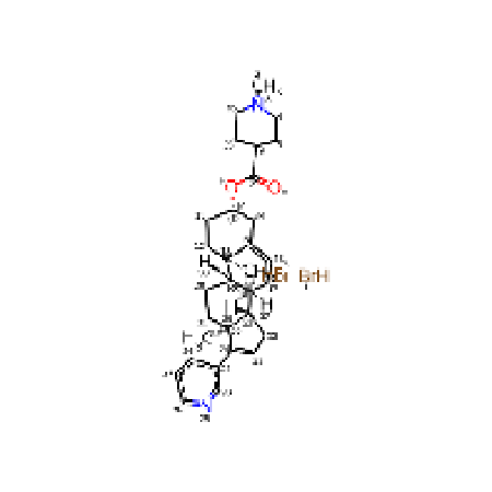 Br.Br.CN1CCC(C(=O)O[C@H]2CC[C@@]3(C)C(=CC[C@@H]4[C@@H]3CC[C@]3(C)C(c5cccnc5)=CC[C@@H]43)C2)CC1